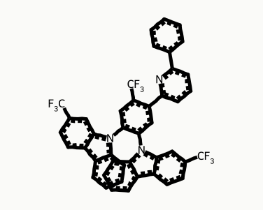 FC(F)(F)c1ccc2c3ccccc3n(-c3cc(-c4cccc(-c5ccccc5)n4)c(C(F)(F)F)cc3-n3c4ccccc4c4ccc(C(F)(F)F)cc43)c2c1